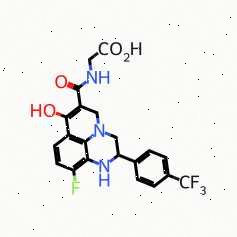 O=C(O)CNC(=O)C1=C(O)c2ccc(F)c3c2N(C1)CC(c1ccc(C(F)(F)F)cc1)N3